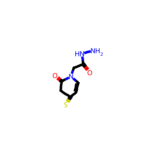 NNC(=O)CN1C=CC(=S)CC1=O